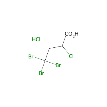 Cl.O=C(O)C(Cl)CC(Br)(Br)Br